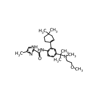 COCCN(C)C(C)(C)c1ccc(NC(=O)c2nc(C)c[nH]2)c(C2=CCC(C)(C)CC2)c1